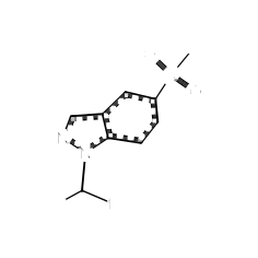 CS(=O)(=O)c1ccc2c(cnn2C(F)F)c1